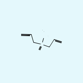 C=CCP(=O)(O)CC=C.N